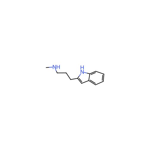 CNCCCc1cc2ccccc2[nH]1